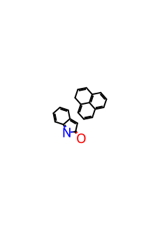 C1=Cc2cccc3cccc(c23)C1.O=C1C=c2ccccc2=N1